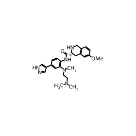 COc1ccc2c(c1)C[C@H](C(=O)Nc1ccc(-c3cn[nH]c3)cc1N(C)CCN(C)C)NC2